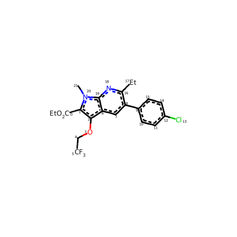 CCOC(=O)c1c(OCC(F)(F)F)c2cc(-c3ccc(Cl)cc3)c(CC)nc2n1C